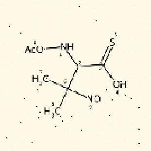 CC(=O)ONC(C(O)=S)C(C)(C)N=O